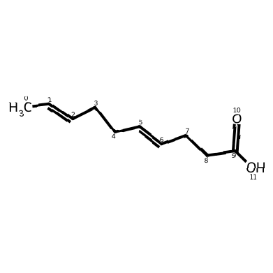 C/C=C/CC/C=C/CCC(=O)O